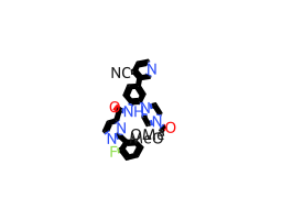 COC(=O)N1CCN(c2cc(-c3cnccc3C#N)ccc2NC(=O)c2ccnc(-c3c(F)cccc3OC)n2)CC1